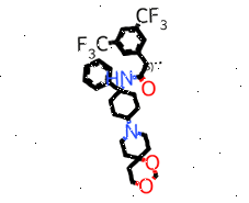 C[C@H](C(=O)NC1(c2ccccc2)CCC(N2CCC3(CCOCO3)CC2)CC1)c1cc(C(F)(F)F)cc(C(F)(F)F)c1